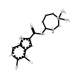 C[Si]1(C)CCCC(NC(=O)c2cc3c(F)c(Cl)ncc3[nH]2)NC1